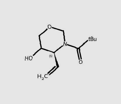 C=C[C@H]1C(O)COCN1C(=O)C(C)(C)C